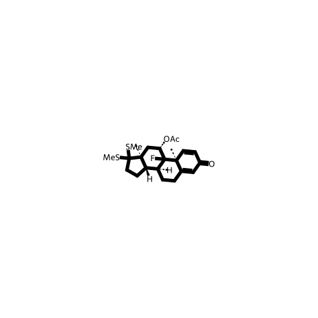 CSC1(SC)CC[C@H]2[C@@H]3CCC4=CC(=O)C=C[C@]4(C)C3(F)[C@@H](OC(C)=O)C[C@@]21C